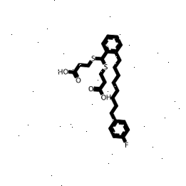 O=C(O)CCSC(SCCC(=O)O)c1ccccc1CCCCCCCCc1ccc(F)cc1